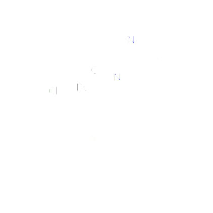 CCCCC1C=NC=N1.CS[CH2][Pt]([Cl])[Cl]